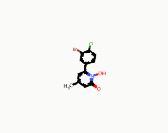 Cc1cc(-c2ccc(Cl)c(Br)c2)n(O)c(=O)c1